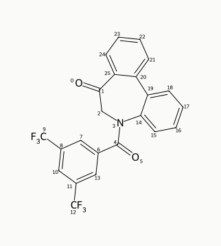 O=C1CN(C(=O)c2cc(C(F)(F)F)cc(C(F)(F)F)c2)c2ccccc2-c2ccccc21